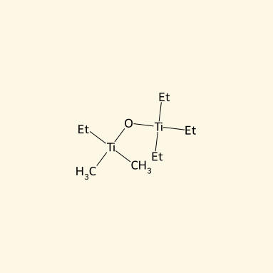 C[CH2][Ti]([CH3])([CH3])[O][Ti]([CH2]C)([CH2]C)[CH2]C